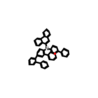 c1ccc(-c2ccc(N(c3ccc(-c4ccccc4-c4ccccc4)cc3-c3ccccc3)c3cc4ccccc4c4ccccc34)cc2)cc1